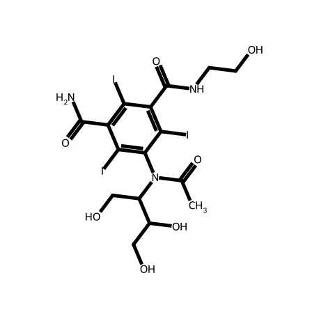 CC(=O)N(c1c(I)c(C(N)=O)c(I)c(C(=O)NCCO)c1I)C(CO)C(O)CO